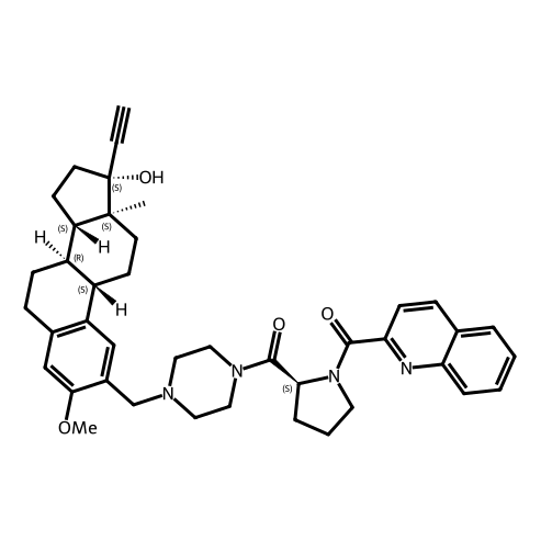 C#C[C@]1(O)CC[C@H]2[C@@H]3CCc4cc(OC)c(CN5CCN(C(=O)[C@@H]6CCCN6C(=O)c6ccc7ccccc7n6)CC5)cc4[C@H]3CC[C@@]21C